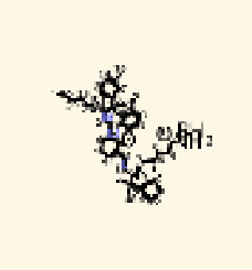 BNC(=O)CCCC[N+]1=C(/C=C/C2=C(Oc3ccc(C)cc3)C(=C/C=C3/N(CCCCC)c4ccc(C)cc4C3(C)C)/CCC2)C(C)(C)c2ccccc21